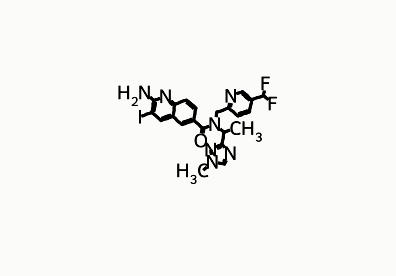 CC(c1ncn(C)n1)N(Cc1ccc(C(F)F)cn1)C(=O)c1ccc2nc(N)c(I)cc2c1